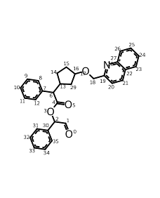 O=CC(OC(=O)C(c1ccccc1)C1CCC(OCc2ccc3ccccc3n2)C1)c1ccccc1